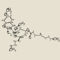 C=CCCCCCC(=O)OC1C[C@@H](CCCC=C)O[C@@](OC)([C@@H]2CSC(=O)N2Cc2ccc(OC)cc2)C1